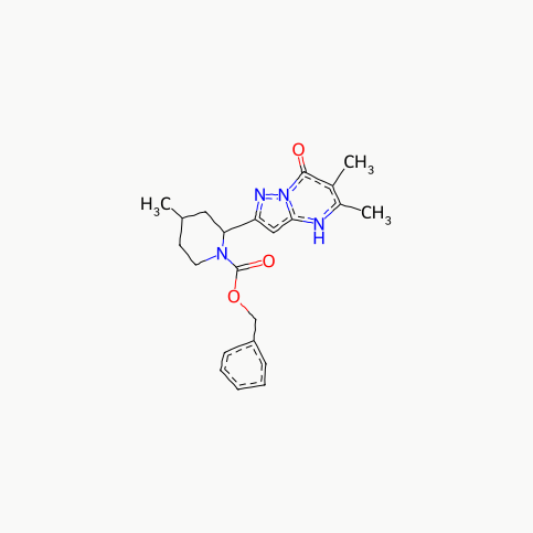 Cc1[nH]c2cc(C3CC(C)CCN3C(=O)OCc3ccccc3)nn2c(=O)c1C